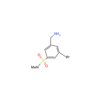 CNS(=O)(=O)c1cc(CN)cc(C(C)C)c1